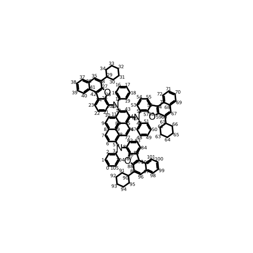 c1ccc(N(c2ccc3ccc4c(N(c5ccccc5)c5cccc6c5oc5c(C7CCCCC7)cc7ccccc7c56)cc(N(c5ccccc5)c5cccc6c5oc5c(C7CCCCC7)cc7ccccc7c56)c5ccc2c3c45)c2cccc3c2oc2c(C4CCCCC4)cc4ccccc4c23)cc1